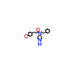 COc1ccc(CCC(=O)N(CCc2ccccc2)C2CCNCC2)cc1